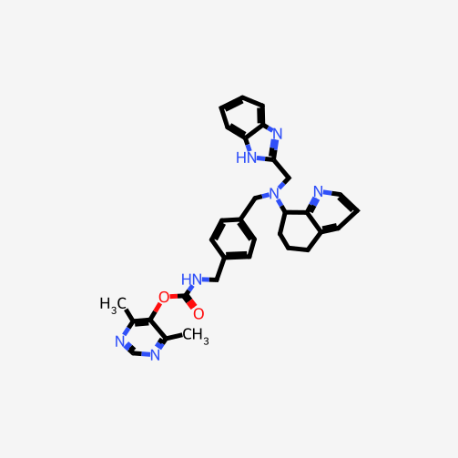 Cc1ncnc(C)c1OC(=O)NCc1ccc(CN(Cc2nc3ccccc3[nH]2)C2CCCc3cccnc32)cc1